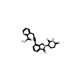 NC(=O)c1ncccc1CC#Cc1cccc2c1CN(C1CCC(=O)NC1=O)C2=O